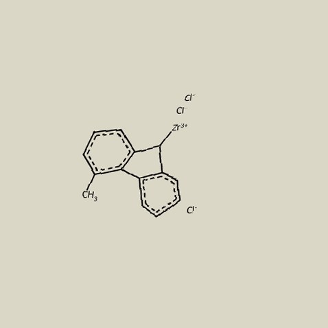 Cc1cccc2c1-c1ccccc1[CH]2[Zr+3].[Cl-].[Cl-].[Cl-]